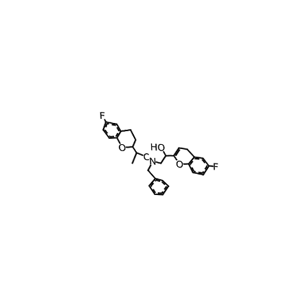 CC(CN(Cc1ccccc1)CC(O)C1=CCc2cc(F)ccc2O1)C1CCc2cc(F)ccc2O1